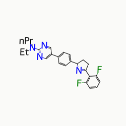 CCCN(CC)c1ncc(-c2ccc(C3CCC(c4c(F)cccc4F)=N3)cc2)cn1